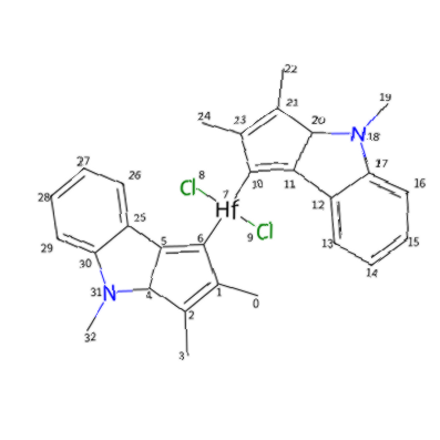 CC1=C(C)C2C(=[C]1[Hf]([Cl])([Cl])[C]1=C3c4ccccc4N(C)C3C(C)=C1C)c1ccccc1N2C